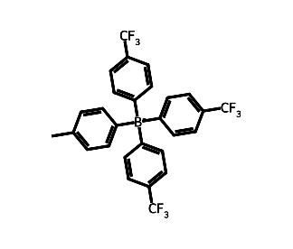 Cc1ccc([B-](c2ccc(C(F)(F)F)cc2)(c2ccc(C(F)(F)F)cc2)c2ccc(C(F)(F)F)cc2)cc1